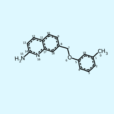 Cc1cccc(OCc2ccc3ccc(N)nc3c2)c1